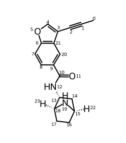 CC#Cc1coc2ccc(C(=O)N[C@@H]3C[C@H]4CC[C@@H]3N4)cc12